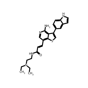 CCN(CC)CCNC(=O)/C=C/c1cnc(N)c2c(-c3ccc4[nH]ccc4c3)csc12